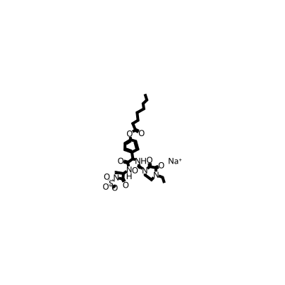 CCCCCCCC(=O)Oc1ccc(C(NC(=O)N2CCN(CC)C(=O)C2=O)C(=O)NC2CN(S(=O)(=O)[O-])C2=O)cc1.[Na+]